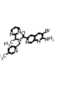 CC(c1ncccn1)N(Cc1ccc(C(F)(F)F)cn1)C(=O)c1cc2cc(Br)c(N)nc2cn1